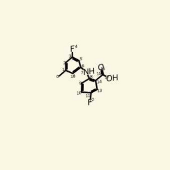 Cc1cc(F)cc(Nc2ccc(F)cc2C(=O)O)c1